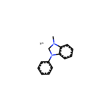 CN1CN(c2ccccc2)c2ccccc21.[Ir+3]